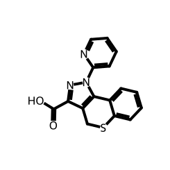 O=C(O)c1nn(-c2ccccn2)c2c1CSc1ccccc1-2